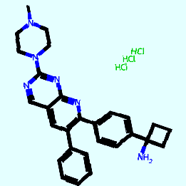 CN1CCN(c2ncc3cc(-c4ccccc4)c(-c4ccc(C5(N)CCC5)cc4)nc3n2)CC1.Cl.Cl.Cl